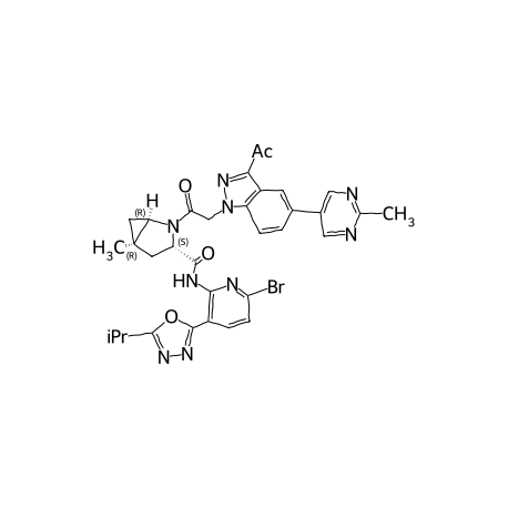 CC(=O)c1nn(CC(=O)N2[C@H](C(=O)Nc3nc(Br)ccc3-c3nnc(C(C)C)o3)C[C@@]3(C)C[C@@H]23)c2ccc(-c3cnc(C)nc3)cc12